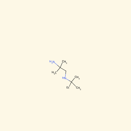 CCC(C)(C)NCC(C)(C)N